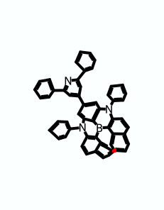 c1ccc(-c2cc(-c3cc4c5c(c3)N(c3ccccc3)c3ccc6ccccc6c3B5c3c(ccc5ccccc35)N4c3ccccc3)cc(-c3ccccc3)n2)cc1